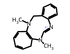 CN1/C=N/c2ccccc2CN(C)C2=C1CC=CC=C2